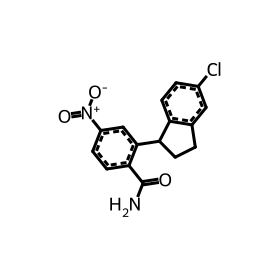 NC(=O)c1ccc([N+](=O)[O-])cc1C1CCc2cc(Cl)ccc21